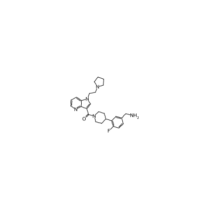 NCc1ccc(F)c(C2CCN(C(=O)c3cn(CCN4CCCC4)c4cccnc34)CC2)c1